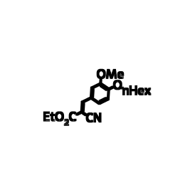 CCCCCCOc1ccc(/C=C(\C#N)C(=O)OCC)cc1OC